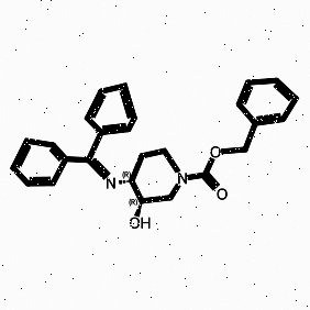 O=C(OCc1ccccc1)N1CC[C@@H](N=C(c2ccccc2)c2ccccc2)[C@H](O)C1